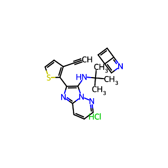 C#Cc1ccsc1-c1nc2cccnn2c1NC(C)(C)C.Cl.c1cc2ncc1-2